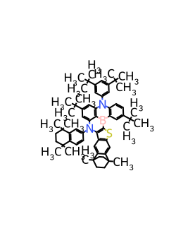 CC(C)(C)c1cc(N2c3ccc(C(C)(C)C)cc3B3c4sc5cc6c(cc5c4N(c4ccc5c(c4)C(C)(C)CCC5(C)C)c4cc(C(C)(C)C)cc2c43)C2(C)CCC6(C)CC2)cc(C(C)(C)C)c1